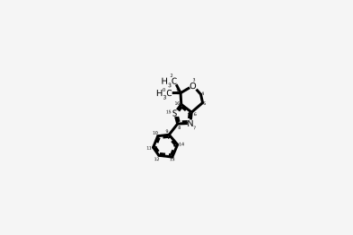 CC1(C)OCCc2nc(-c3ccccc3)sc21